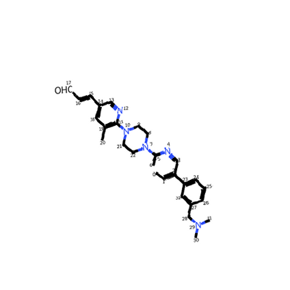 C/C=C(\C=N/C(C)N1CCN(c2ncc(/C=C/C=O)cc2C)CC1)c1cccc(CN(C)C)c1